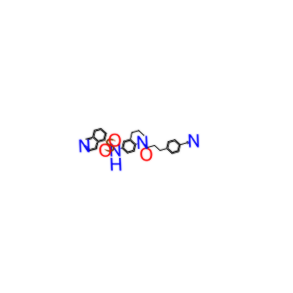 N#Cc1ccc(CCC(=O)N2CCCc3cc(NS(=O)(=O)c4cccc5cnccc45)ccc32)cc1